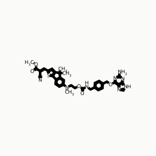 COC(=O)/C(C#N)=C/c1cc2c(s1)-c1ccc(N(C)CCOC(=O)NCc3ccc(COc4nc(N)nc5[nH]cnc45)cc3)cc1C2(C)C